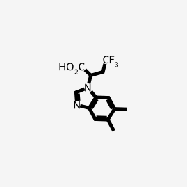 Cc1cc2ncn(C(CC(F)(F)F)C(=O)O)c2cc1C